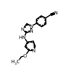 CCOc1cc(Nc2ncn(-c3ccc(C#N)cc3)n2)ccn1